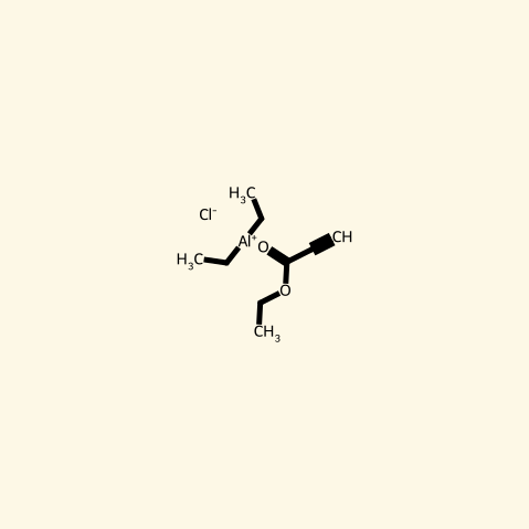 C#CC(=O)OCC.C[CH2][Al+][CH2]C.[Cl-]